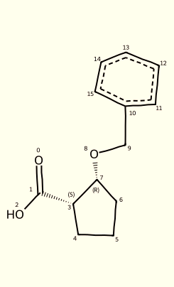 O=C(O)[C@H]1CCC[C@H]1OCc1ccccc1